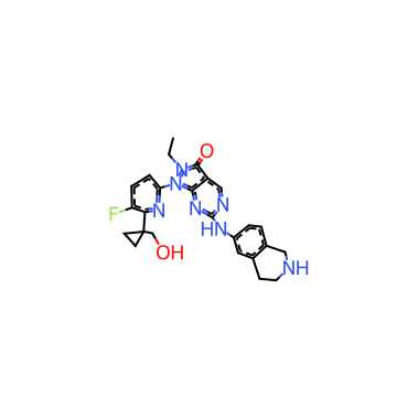 CCn1c(=O)c2cnc(Nc3ccc4c(c3)CCNC4)nc2n1-c1ccc(F)c(C2(CO)CC2)n1